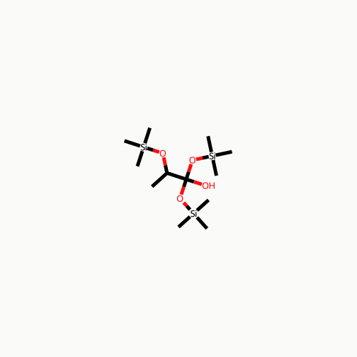 CC(O[Si](C)(C)C)C(O)(O[Si](C)(C)C)O[Si](C)(C)C